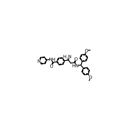 COc1ccc(C(NC(=O)CC(N)c2ccc(C(=O)Nc3ccncc3)cc2)c2ccc(OC)cc2)cc1